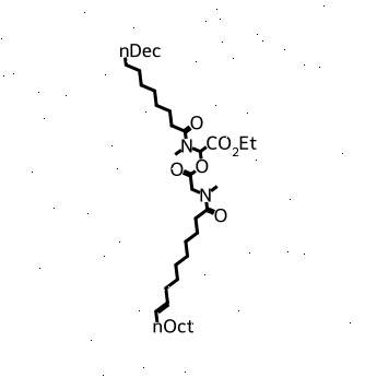 CCCCCCCCC=CCCCCCCCC(=O)N(C)CC(=O)OC(C(=O)OCC)N(C)C(=O)CCCCCCCCCCCCCCCCC